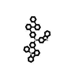 c1ccc(-c2ccccc2-c2ccccc2-c2ccc(N(c3cccc(-c4cccc5c6ccccc6n(-c6ccccc6)c45)c3)c3ccc4sc5ccccc5c4c3)cc2)cc1